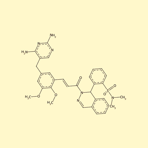 COc1cc(Cc2cnc(N)nc2N)cc(C=CC(=O)N2N=Cc3ccccc3C2c2ccccc2S(=O)(=O)N(C)C)c1OC